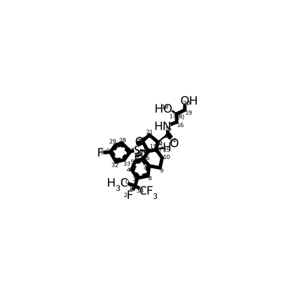 CC(F)(c1ccc2c(c1)CC[C@H]1[C@H](C(=O)NC[C@@H](O)CO)CC[C@@]21S(=O)(=O)c1ccc(F)cc1)C(F)(F)F